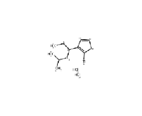 CCC(SC(C)C)C1=[C]([Ti])CC=C1.Cl.Cl